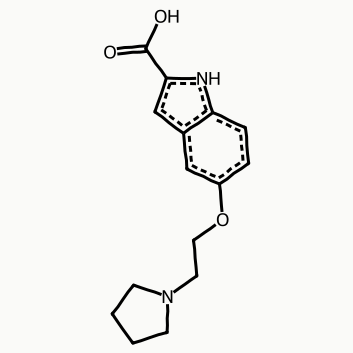 O=C(O)c1cc2cc(OCCN3CCCC3)ccc2[nH]1